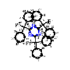 CC(C)C(c1ccccc1)(c1ccccc1)c1nc(C(c2ccccc2)(c2ccccc2)C(C)C)nc(C(c2ccccc2)(c2ccccc2)C(C)C)n1